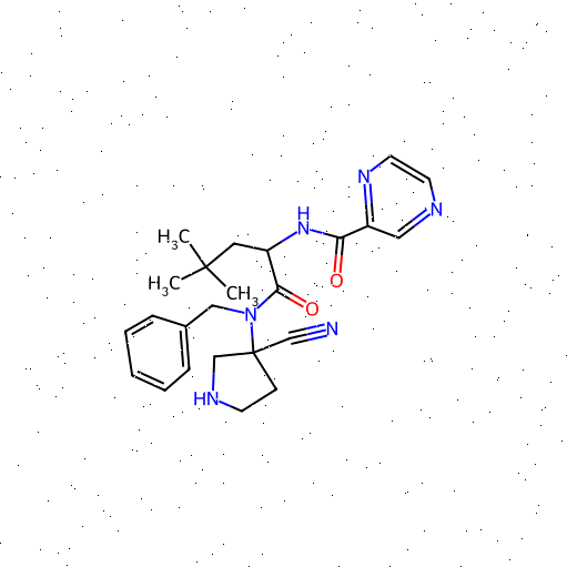 CC(C)(C)CC(NC(=O)c1cnccn1)C(=O)N(Cc1ccccc1)C1(C#N)CCNC1